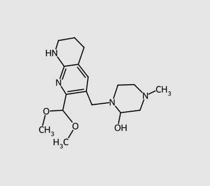 COC(OC)c1nc2c(cc1CN1CCN(C)CC1O)CCCN2